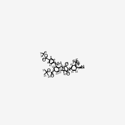 CC(C)(C)OC(=O)c1ccc(Nc2cc(C(=O)OC(C)(C)C)ccc2CN2C(=O)N(c3ccc(C#N)c(C(F)(F)F)c3)C(=O)C2(C)C)cc1